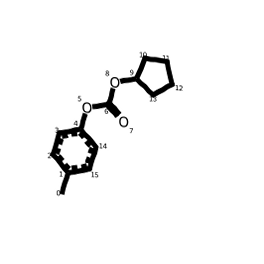 Cc1ccc(OC(=O)OC2CCCC2)cc1